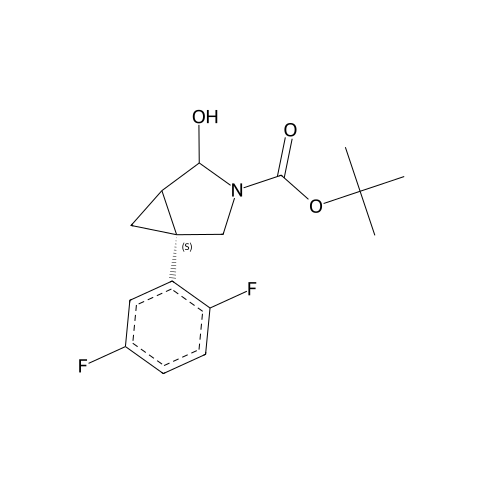 CC(C)(C)OC(=O)N1C[C@@]2(c3cc(F)ccc3F)CC2C1O